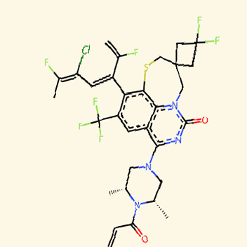 C=CC(=O)N1[C@H](C)CN(c2nc(=O)n3c4c(c(/C(=C/C(Cl)=C(\C)F)C(=C)F)c(C(F)(F)F)cc24)SCC2(C3)CC(F)(F)C2)C[C@@H]1C